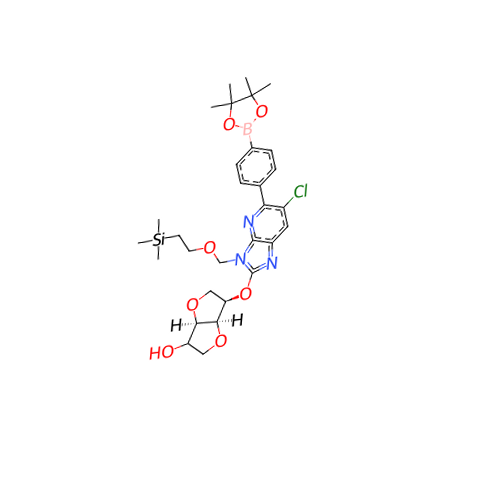 CC1(C)OB(c2ccc(-c3nc4c(cc3Cl)nc(O[C@@H]3CO[C@@H]5C(O)CO[C@@H]53)n4COCC[Si](C)(C)C)cc2)OC1(C)C